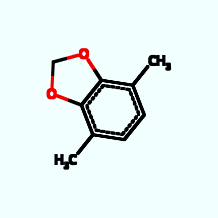 Cc1ccc(C)c2c1OCO2